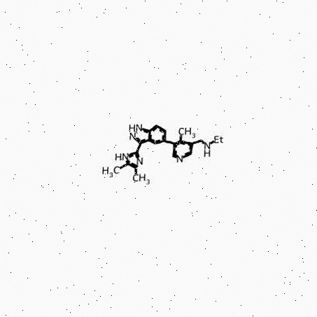 CCNCc1cncc(-c2ccc3[nH]nc(-c4nc(C)c(C)[nH]4)c3c2)c1C